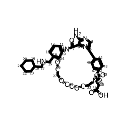 Nc1ncc2nc1C(=O)Nc1cccc(CNCC3CCCCC3)c1OCCOCCOCCN(CC(=O)O)S(=O)(=O)c1ccc-2cc1